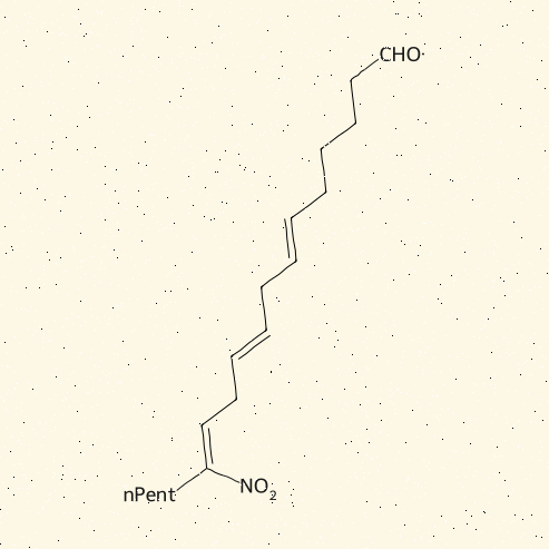 CCCCC/C(=C/C/C=C/C/C=C/CCCC[C]=O)[N+](=O)[O-]